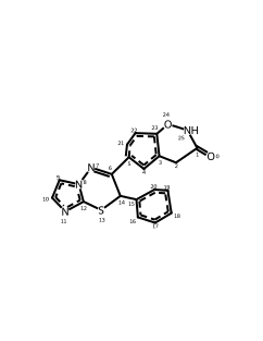 O=C1Cc2cc(C3=Nn4ccnc4SC3c3ccccc3)ccc2ON1